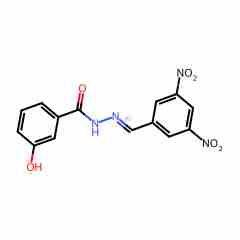 O=C(N/N=C/c1cc([N+](=O)[O-])cc([N+](=O)[O-])c1)c1cccc(O)c1